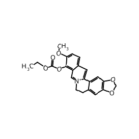 CCOC(=O)Oc1c(OC)ccc2cc3[n+](cc12)CCc1cc2c(cc1-3)OCO2